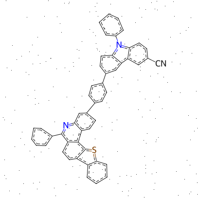 N#Cc1ccc2c(c1)c1cc(-c3ccc(-c4ccc5c(c4)nc(-c4ccccc4)c4ccc6c7ccccc7sc6c45)cc3)ccc1n2-c1ccccc1